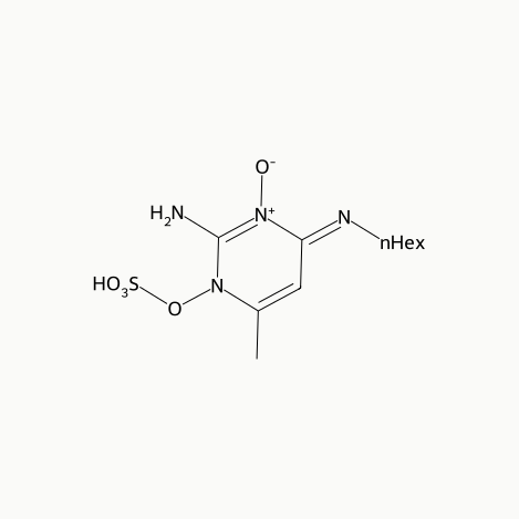 CCCCCCN=c1cc(C)n(OS(=O)(=O)O)c(N)[n+]1[O-]